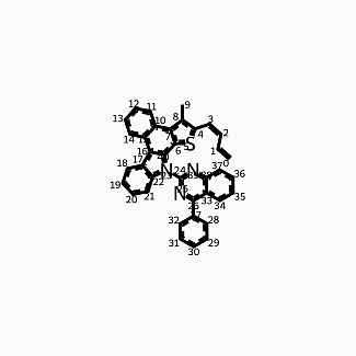 C=C/C=C\c1sc2c(c1C)c1ccccc1c1c3ccccc3n(-c3nc(-c4ccccc4)c4ccccc4n3)c21